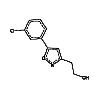 OCCc1cc(-c2cccc(Cl)c2)on1